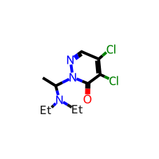 CCN(CC)C(C)n1ncc(Cl)c(Cl)c1=O